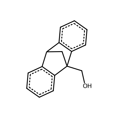 OCC12CC(c3ccccc31)c1ccccc12